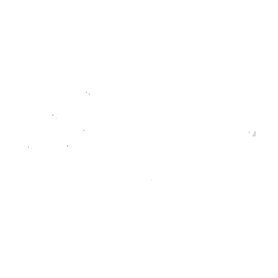 CC(C)(C)C(N)c1ccc(-c2c(Cl)cc(-n3nc(N)nc3N)cc2C(F)(F)F)cc1